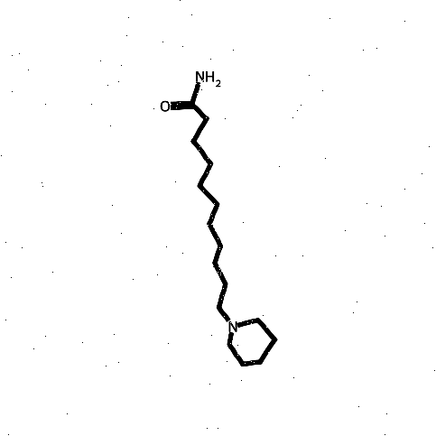 NC(=O)CCCCCCCCCCN1CCCCC1